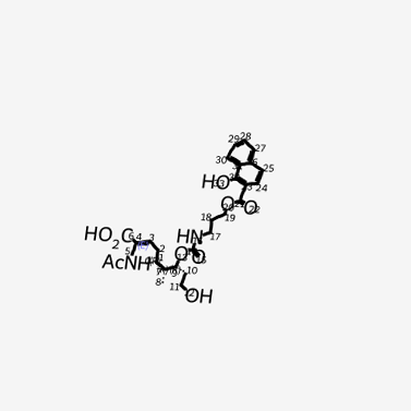 CC(=O)N[C@H](C/C=C(\C)C(=O)O)[C@@H](C)[C@@H](CCO)OC(=O)NCCCOC(=O)c1ccc2ccccc2c1O